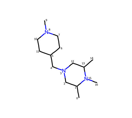 CC1CN(CC2CCN(C)CC2)CC(C)N1C